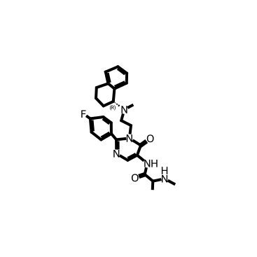 CNC(C)C(=O)Nc1cnc(-c2ccc(F)cc2)n(CCN(C)[C@@H]2CCCc3ccccc32)c1=O